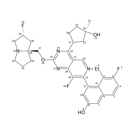 CCc1c(F)ccc2cc(O)cc(-c3ncc4c(C5CC[C@@](C)(O)C5)nc(OC[C@@]56CCCN5C[C@H](F)C6)nc4c3F)c12